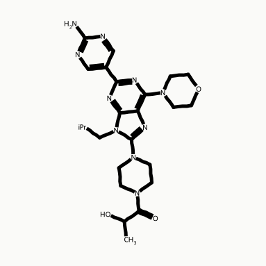 CC(C)Cn1c(N2CCN(C(=O)C(C)O)CC2)nc2c(N3CCOCC3)nc(-c3cnc(N)nc3)nc21